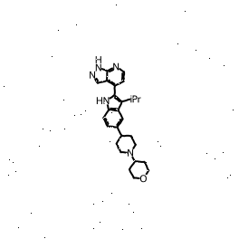 CC(C)c1c(-c2ccnc3[nH]ncc23)[nH]c2ccc(C3CCN(C4CCOCC4)CC3)cc12